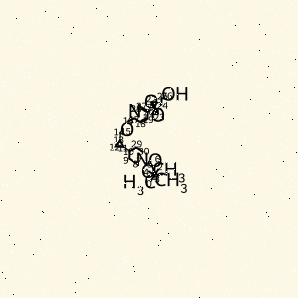 CC(C)(C)OC(=O)N1CCC([C@H]2C[C@H]2COCc2ccc(S(=O)(=O)CCO)cn2)CC1